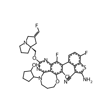 N#Cc1c(N)sc2c(F)ccc(-c3c(Cl)c4c5c(nc(OC[C@@]67CCCN6C/C(=C\F)C7)nc5c3F)N(C3CCCC3O)CCCO4)c12